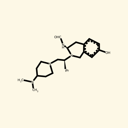 CC(C)[C@@H](CN1CCC(N(C)C)CC1)N1Cc2cc(O)ccc2C[C@@H]1NC=O